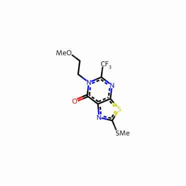 COCCn1c(C(F)(F)F)nc2sc(SC)nc2c1=O